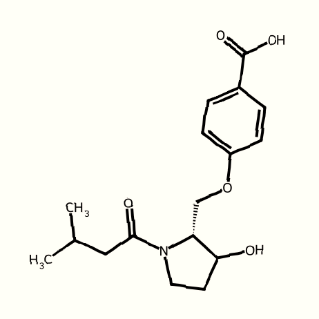 CC(C)CC(=O)N1CCC(O)[C@H]1COc1ccc(C(=O)O)cc1